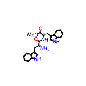 COC(=O)[C@H](Cc1c[nH]c2ccccc12)NC(=O)[C@@H](N)Cc1c[nH]c2ccccc12